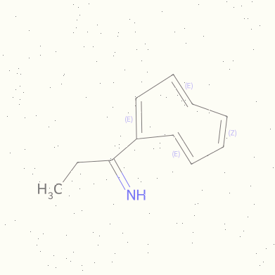 CCC(=N)C1=C/C=C/C=C\C=C\1